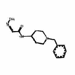 O=C(/C=N\O)NC1CCN(Cc2ccccc2)CC1